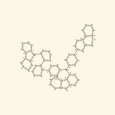 c1ccc(-c2ccccc2-n2c3ccccc3c3ccccc32)c(-c2ccc(N(c3ccc(-c4ccc5c(ccc6ccccc65)c4)cc3)c3cccc4sc5ccccc5c34)cc2)c1